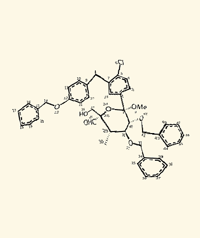 CO[C@@]1(c2ccc(Cl)c(Cc3ccc(OCc4ccccc4)cc3)c2)O[C@](C=O)(CO)[C@@H](C)[C@H](OCc2ccccc2)[C@H]1OCc1ccccc1